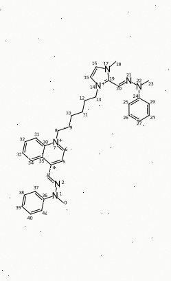 CN(/N=C/c1cc[n+](CCCCCC[n+]2ccn(C)c2/C=N/N(C)c2ccccc2)c2ccccc12)c1ccccc1